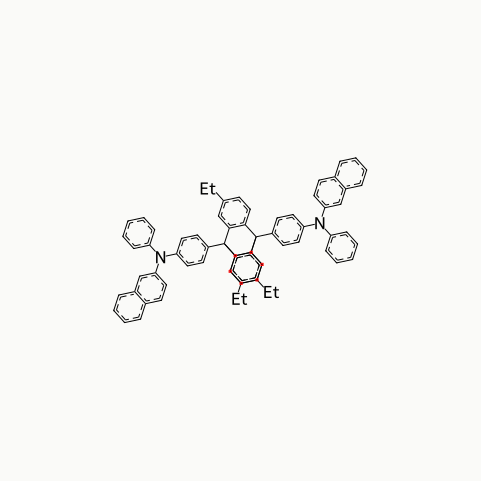 CCc1ccc2c(c1)C1(c3ccc(N(c4ccccc4)c4ccc5ccccc5c4)cc3)c3ccc(CC)cc3C2(c2ccc(N(c3ccccc3)c3ccc4ccccc4c3)cc2)c2cc(CC)ccc21